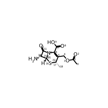 CC(=O)OCC1=C(C(=O)O)N2C(=O)[C@@H](N)[C@H]2S[C@H]1C